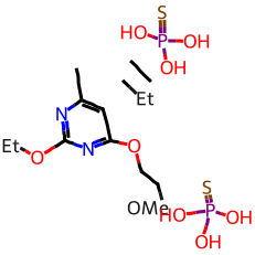 CC.CCC.CCOc1nc(C)cc(OCCOC)n1.OP(O)(O)=S.OP(O)(O)=S